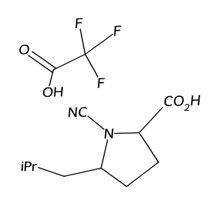 CC(C)CC1CCC(C(=O)O)N1C#N.O=C(O)C(F)(F)F